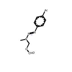 CC(=O)c1ccc(/N=N/N(C)COC=O)cc1